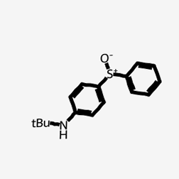 CC(C)(C)Nc1ccc([S+]([O-])c2ccccc2)cc1